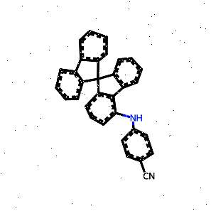 N#Cc1ccc(Nc2cccc3c2-c2ccccc2C32c3ccccc3-c3ccccc32)cc1